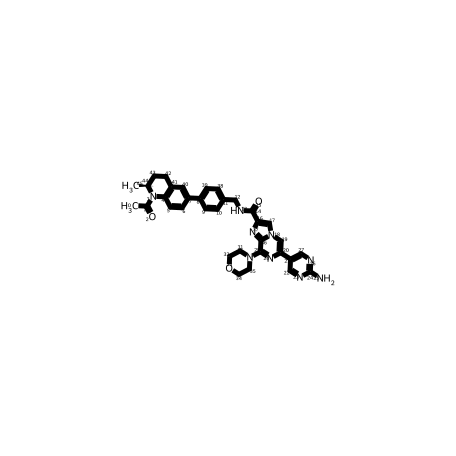 CC(=O)N1c2ccc(-c3ccc(CNC(=O)c4cn5cc(-c6cnc(N)nc6)nc(N6CCOCC6)c5n4)cc3)cc2CC[C@@H]1C